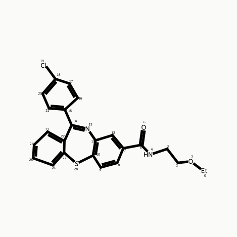 CCOCCNC(=O)c1ccc2c(c1)N=C(c1ccc(Cl)cc1)c1ccccc1S2